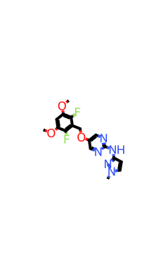 COc1cc(OC)c(F)c(COc2cnc(Nc3ccn(C)n3)nc2)c1F